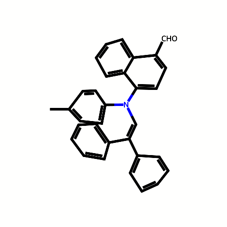 Cc1ccc(N(C=C(c2ccccc2)c2ccccc2)c2ccc(C=O)c3ccccc23)cc1